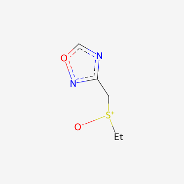 CC[S+]([O-])Cc1ncon1